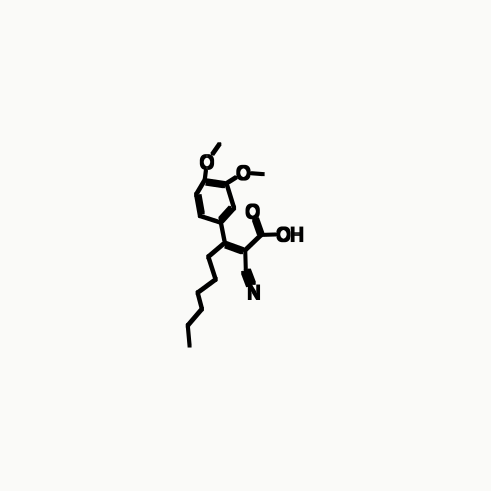 CCCCCCC(=C(C#N)C(=O)O)c1ccc(OC)c(OC)c1